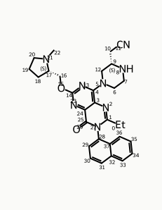 CCc1nc2c(N3CCN[C@@H](CC#N)C3)nc(OC[C@@H]3CCCN3C)nc2c(=O)n1-c1cccc2ccccc12